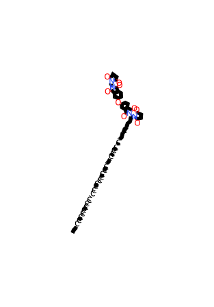 C=C=C=C=C=C=C=C=C=C=C=C=C=C=C=C=C=C=C=C=C=C=C=C=C=C=C=C=C=C=C=C=C=C=C=C(N1C(=O)C=CC1=O)N1C(=O)c2ccc(Oc3ccc4c(c3)C(=O)N(CN3C(=O)C=CC3=O)C4=O)cc2C1=O